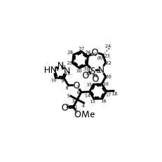 COC(=O)C(C)(C)C(OCc1c[nH]nn1)c1ccc(C)c(CN2C[C@@H](C)Oc3ccccc3S2(=O)=O)c1